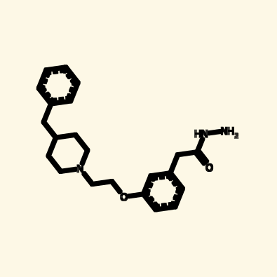 NNC(=O)Cc1cccc(OCCN2CCC(Cc3ccccc3)CC2)c1